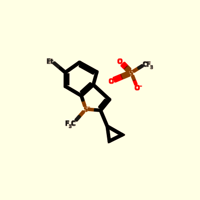 CCc1ccc2cc(C3CC3)[s+](C(F)(F)F)c2c1.O=S(=O)([O-])C(F)(F)F